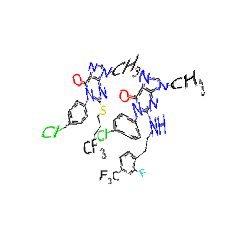 Cn1cnc2c(=O)n(-c3ccc(Cl)cc3)c(NCCc3ccc(C(F)(F)F)cc3F)nc21.Cn1cnc2c(=O)n(-c3ccc(Cl)cc3)c(SCCCC(F)(F)F)nc21